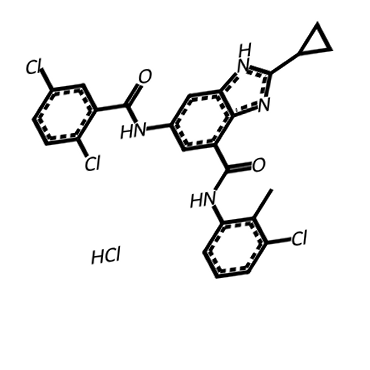 Cc1c(Cl)cccc1NC(=O)c1cc(NC(=O)c2cc(Cl)ccc2Cl)cc2[nH]c(C3CC3)nc12.Cl